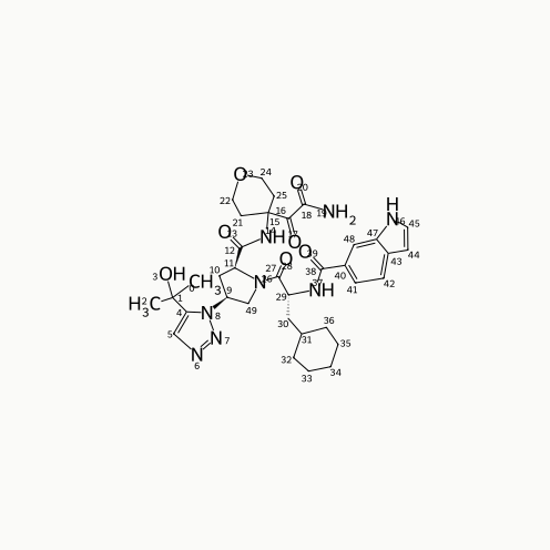 CC(C)(O)c1cnnn1[C@H]1C[C@@H](C(=O)NC2(C(=O)C(N)=O)CCOCC2)N(C(=O)[C@@H](CC2CCCCC2)NC(=O)c2ccc3cc[nH]c3c2)C1